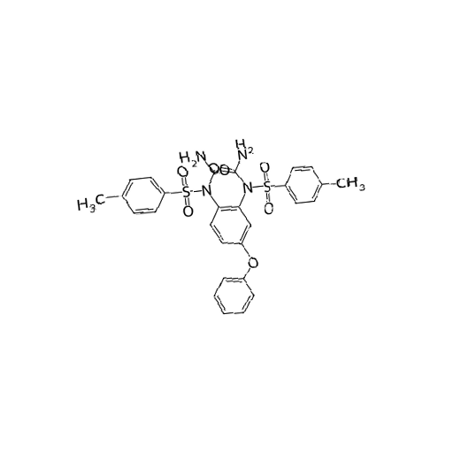 Cc1ccc(S(=O)(=O)N(C(N)=O)c2ccc(Oc3ccccc3)cc2N(C(N)=O)S(=O)(=O)c2ccc(C)cc2)cc1